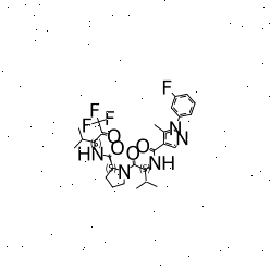 Cc1c(C(=O)N[C@H](C(=O)N2CCC[C@H]2C(=O)N[C@H](C(=O)C(F)(F)F)C(C)C)C(C)C)cnn1-c1cccc(F)c1